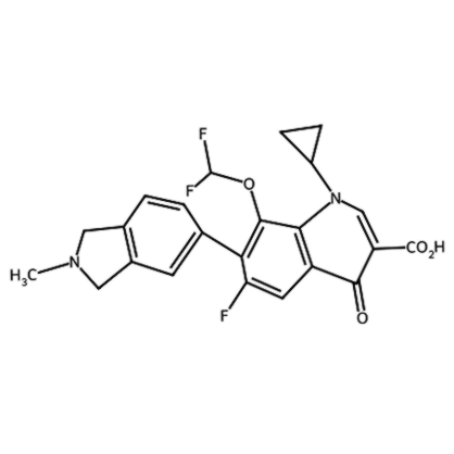 CN1Cc2ccc(-c3c(F)cc4c(=O)c(C(=O)O)cn(C5CC5)c4c3OC(F)F)cc2C1